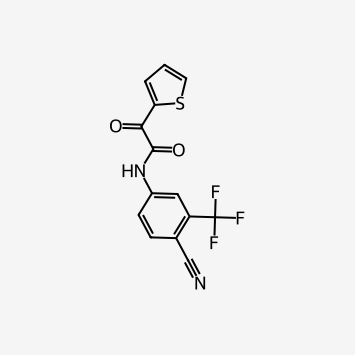 N#Cc1ccc(NC(=O)C(=O)c2cccs2)cc1C(F)(F)F